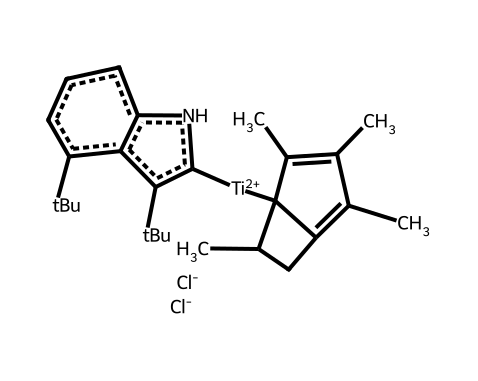 CC1=C(C)[C]2([Ti+2][c]3[nH]c4cccc(C(C)(C)C)c4c3C(C)(C)C)C(=C1C)CC2C.[Cl-].[Cl-]